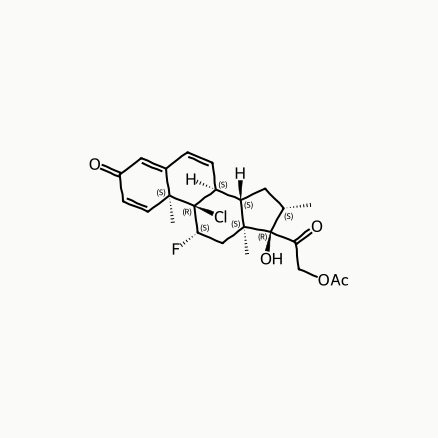 CC(=O)OCC(=O)[C@@]1(O)[C@@H](C)C[C@H]2[C@@H]3C=CC4=CC(=O)C=C[C@]4(C)[C@@]3(Cl)[C@@H](F)C[C@@]21C